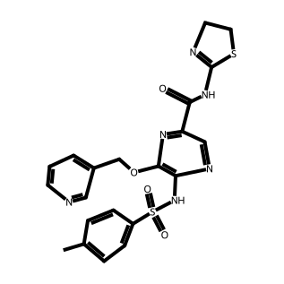 Cc1ccc(S(=O)(=O)Nc2ncc(C(=O)NC3=NCCS3)nc2OCc2cccnc2)cc1